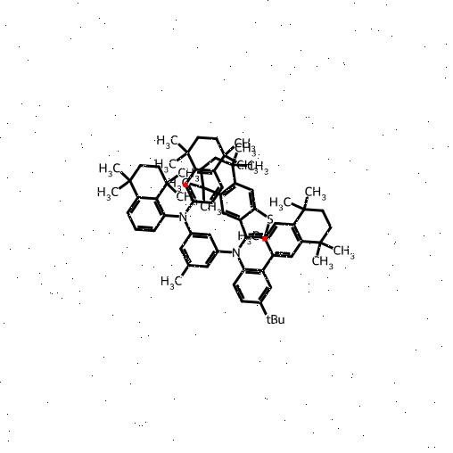 Cc1cc(N(c2ccc3c(c2)C(C)(C)CCC3(C)C)c2cccc3c2C(C)(C)CCC3(C)C)cc(N(c2ccc(C(C)(C)C)cc2-c2cc3c(cc2C)C(C)(C)CCC3(C)C)c2csc3cc4c(cc23)C(C)(C)CCC4(C)C)c1